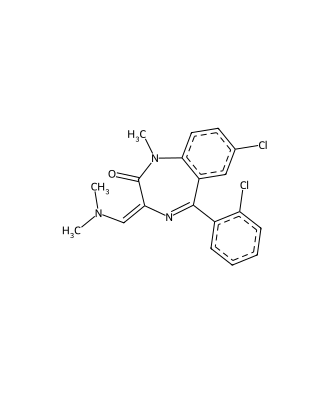 CN(C)C=C1N=C(c2ccccc2Cl)c2cc(Cl)ccc2N(C)C1=O